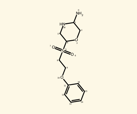 NC1COC(S(=O)(=O)CCOc2ccccc2)CN1